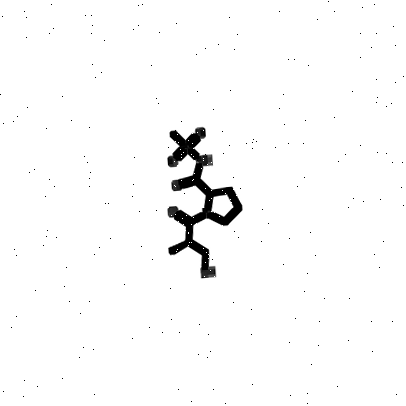 C[C@H](CS)C(=O)N1CCCC1C(=O)NS(C)(=O)=O